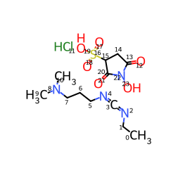 CCN=C=NCCCN(C)C.Cl.O=C1CC(S(=O)(=O)O)C(=O)N1O